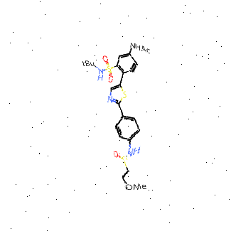 COCC[S+]([O-])Nc1ccc(-c2ncc(-c3ccc(NC(C)=O)cc3S(=O)(=O)NC(C)(C)C)s2)cc1